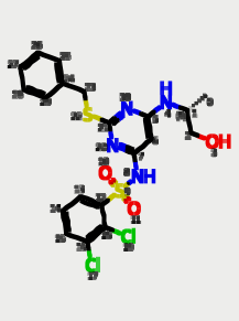 C[C@H](CO)Nc1cc(NS(=O)(=O)c2cccc(Cl)c2Cl)nc(SCc2ccccc2)n1